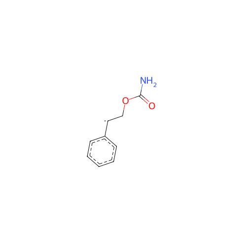 NC(=O)OC[CH]c1ccccc1